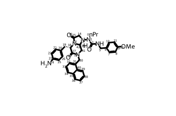 CCCN(C(=O)NCc1ccc(OC)cc1)N1CC(=O)N2[C@@H](Cc3ccc(N)cc3)C(=O)N(Cc3cccc4ccccc34)C[C@@H]21